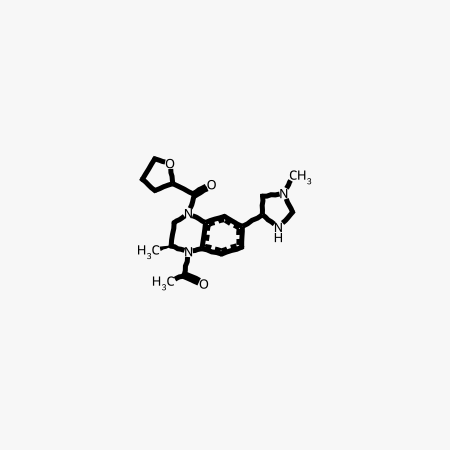 CC(=O)N1c2ccc(C3CN(C)CN3)cc2N(C(=O)C2CCCO2)C[C@@H]1C